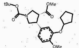 COC(=O)[C@H]1CN(C(=O)OC(C)(C)C)C[C@H]1c1ccc(OC)c(OC2CCCC2)c1